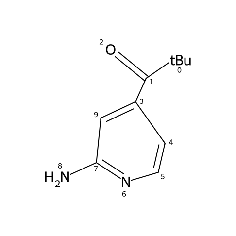 CC(C)(C)C(=O)c1ccnc(N)c1